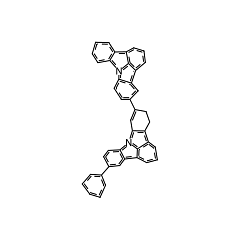 C1=C(c2ccc3c(c2)c2cccc4c5ccccc5n3c42)CCc2c1n1c3ccc(-c4ccccc4)cc3c3cccc2c31